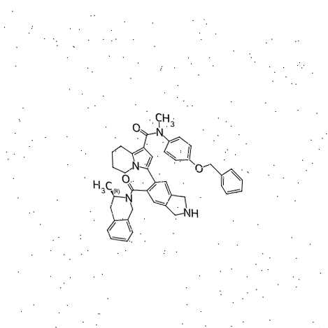 C[C@@H]1Cc2ccccc2CN1C(=O)c1cc2c(cc1-c1cc(C(=O)N(C)c3ccc(OCc4ccccc4)cc3)c3n1CCCC3)CNC2